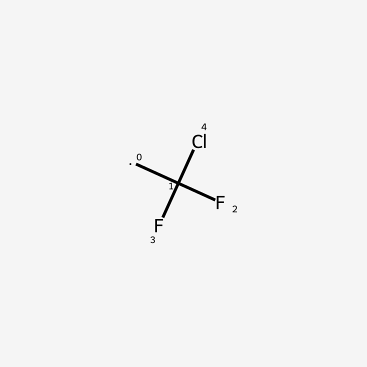 [CH2]C(F)(F)Cl